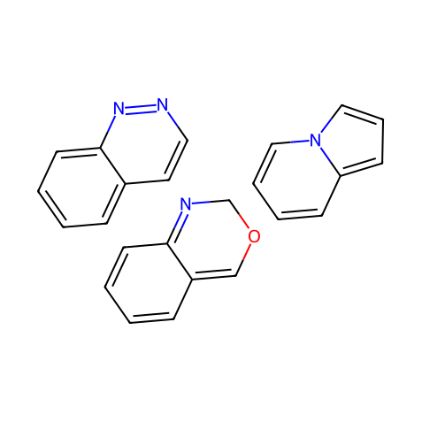 C1=c2ccccc2=NCO1.c1ccc2nnccc2c1.c1ccn2cccc2c1